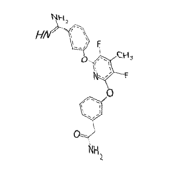 Cc1c(F)c(Oc2cccc(CC(N)=O)c2)nc(Oc2cccc(C(=N)N)c2)c1F